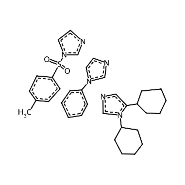 Cc1ccc(S(=O)(=O)n2ccnc2)cc1.c1ccc(-n2ccnc2)cc1.c1ncn(C2CCCCC2)c1C1CCCCC1